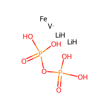 O=P(O)(O)OP(=O)(O)O.[Fe].[LiH].[LiH].[V]